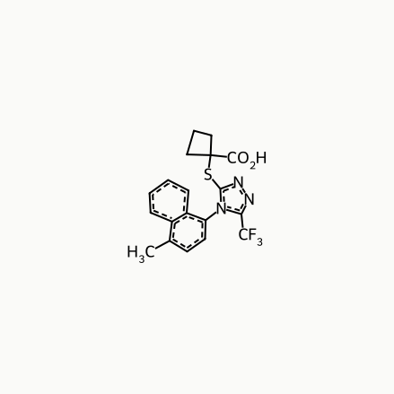 Cc1ccc(-n2c(SC3(C(=O)O)CCC3)nnc2C(F)(F)F)c2ccccc12